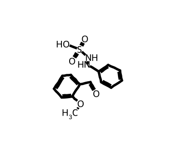 COc1ccccc1C=O.O=S(=O)(O)NNc1ccccc1